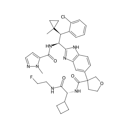 Cn1nccc1C(=O)N[C@H](c1nc2cc(C3(C(=O)N[C@@H](C(=O)NCCF)C4CCC4)CCOC3)ccc2[nH]1)[C@H](c1ccccc1Cl)C1(C)CC1